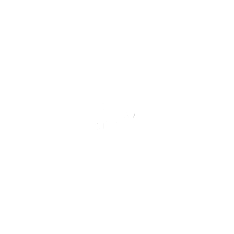 BC[SH](=O)=O